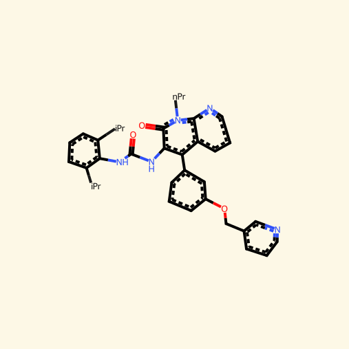 CCCn1c(=O)c(NC(=O)Nc2c(C(C)C)cccc2C(C)C)c(-c2cccc(OCc3cccnc3)c2)c2cccnc21